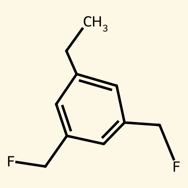 CCc1cc(CF)cc(CF)c1